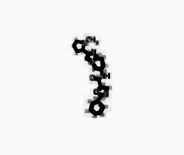 CN1CCCC1c1cn2cc(NC(=O)c3cnc(-c4ccccc4)o3)ccc2n1